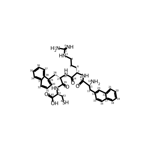 N=C(N)NCCC[C@H](NC(=O)[C@H](N)Cc1ccc2ccccc2c1)C(=O)N[C@@H](Cc1cccc2ccccc12)C(=O)N[C@@H](CS)C(=O)O